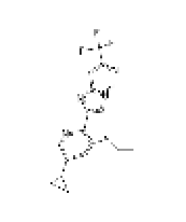 CCSc1cc(C2CC2)cnc1-c1cn2cnc(C(F)(F)F)cc2n1